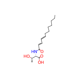 CCCCCCC/C=C/C=C/C(=O)N[C@H](C(=O)O)[C@@H](C)O